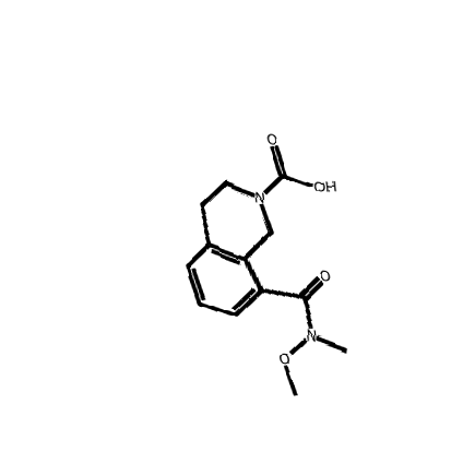 CON(C)C(=O)c1cccc2c1CN(C(=O)O)CC2